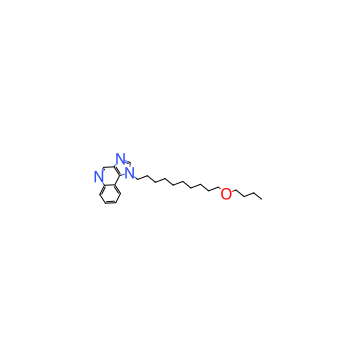 CCCCOCCCCCCCCCCn1cnc2cnc3ccccc3c21